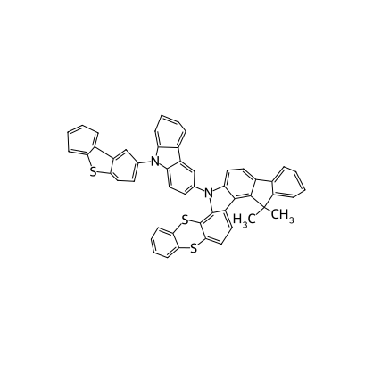 CC1(C)c2ccccc2-c2ccc3c(c21)c1ccc2c(c1n3-c1ccc3c(c1)c1ccccc1n3-c1ccc3sc4ccccc4c3c1)Sc1ccccc1S2